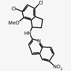 COc1c(Cl)cc(Cl)c2c1C(Nc1ccc3cc([N+](=O)[O-])ccc3n1)CC2